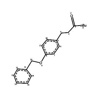 CCCCC(=O)CCc1ccc(OCc2ccccc2)cc1